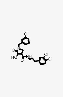 O=C(NCCCc1ccc(Cl)c(Cl)c1)C1=C(O)C(=O)N(Cc2cccc(Cl)c2)C1